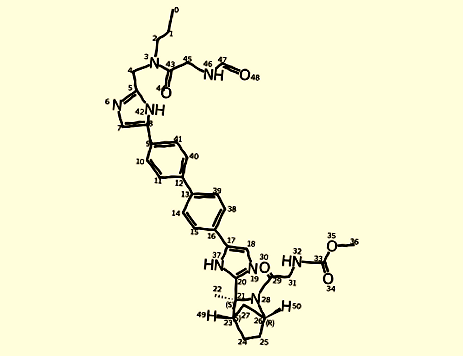 CCCN(Cc1ncc(-c2ccc(-c3ccc(-c4cnc([C@]5(C)[C@H]6CC[C@H](C6)N5C(=O)CNC(=O)OC)[nH]4)cc3)cc2)[nH]1)C(=O)CNC=O